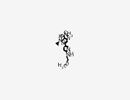 COCCCNc1ccc(-c2cc3ncn(C)c(=O)c3c(NC3CC3)n2)cn1